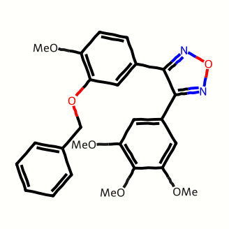 COc1ccc(-c2nonc2-c2cc(OC)c(OC)c(OC)c2)cc1OCc1ccccc1